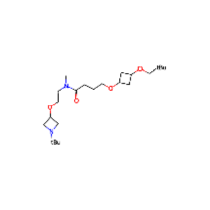 CN(CCOC1CN(C(C)(C)C)C1)C(=O)CCCOC1CC(OCC(C)(C)C)C1